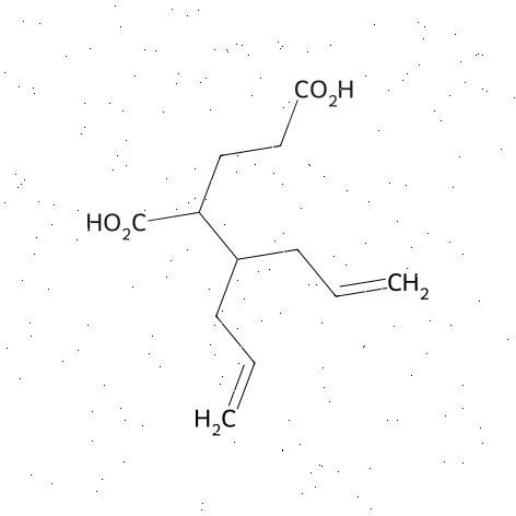 C=CCC(CC=C)C(CCC(=O)O)C(=O)O